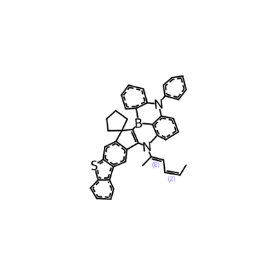 C/C=C\C=C(/C)N1C2=C(B3c4ccccc4N(c4ccccc4)c4cccc1c43)C1(CCCC1)c1cc3sc4ccccc4c3cc12